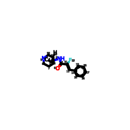 O=C(N[C@H]1CN2CCC1CC2)C(F)=Cc1ccccc1